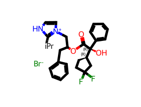 CC(C)c1[nH]cc[n+]1CC(Cc1ccccc1)OC(=O)[C@](O)(c1ccccc1)[C@@H]1CCC(F)(F)C1.[Br-]